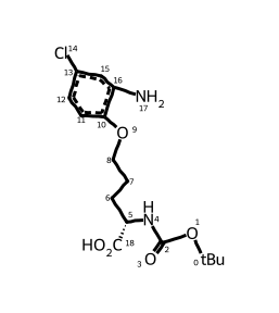 CC(C)(C)OC(=O)N[C@@H](CCCOc1ccc(Cl)cc1N)C(=O)O